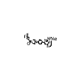 CNc1nc(-c2ccc(N3CCN(C(=O)C4CC(F)(F)C4)CC3)cc2)cc2nccnc12